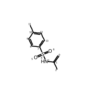 C=C(C)NS(=O)(=O)c1ccc(C)cc1